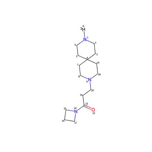 [2H]N1CCC2(CC1)CCN(CCC(=O)N1CCC1)CC2